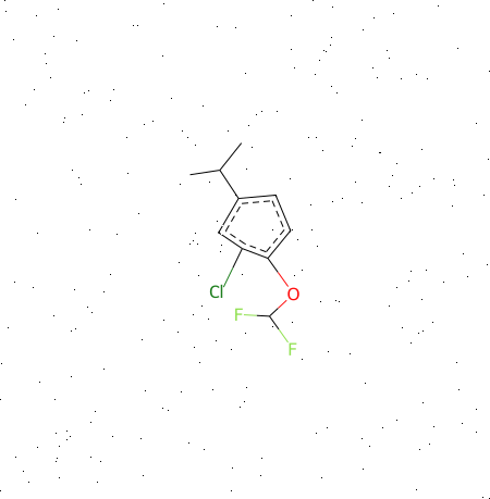 CC(C)c1ccc(OC(F)F)c(Cl)c1